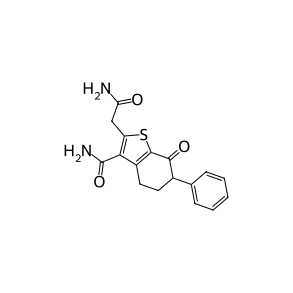 NC(=O)Cc1sc2c(c1C(N)=O)CCC(c1ccccc1)C2=O